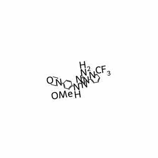 COc1cc(N2CCOCC2)ccc1Nc1nc(N)n(-c2cccc(C(F)(F)F)n2)n1